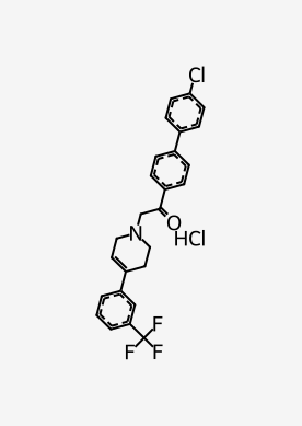 Cl.O=C(CN1CC=C(c2cccc(C(F)(F)F)c2)CC1)c1ccc(-c2ccc(Cl)cc2)cc1